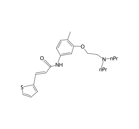 CCCN(CCC)CCOc1cc(NC(=O)C=Cc2cccs2)ccc1C